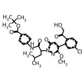 COc1nn(C(CC(C)C)C(=O)Nc2ccc(C(=O)OC(C)(C)C)cc2)c(=O)cc1-c1cc(Cl)ccc1C(=O)CO